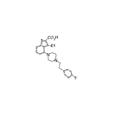 CCc1c(C(=O)O)sc2cccc(N3CCN(CCc4ccc(F)cc4)CC3)c12